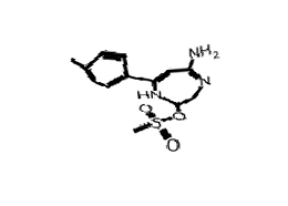 Cc1ccc(C2=CC(N)=NCC(OS(C)(=O)=O)N2)cc1